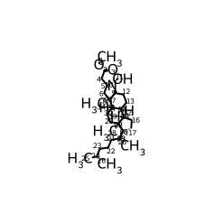 COC(=O)CCC[C@@]1(C)C(=NO)CC[C@H]2[C@@H]3CC[C@H]([C@H](C)CCCC(C)C)[C@@]3(C)CC[C@@H]21